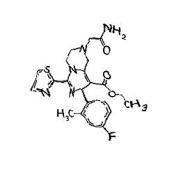 CCOC(=O)C1=C2CN(CC(N)=O)CCN2C(c2nccs2)=NC1c1ccc(F)cc1C